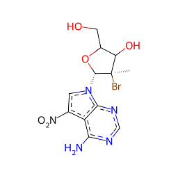 C[C@@]1(Br)C(O)C(CO)O[C@H]1n1cc([N+](=O)[O-])c2c(N)ncnc21